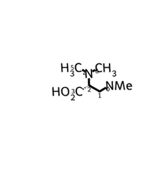 CNC[C@H](C(=O)O)N(C)C